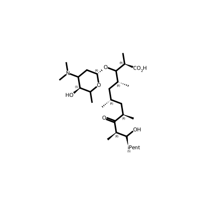 CCC[C@H](C)C(O)[C@@H](C)C(=O)[C@H](C)C[C@H](C)C[C@@H](C)C(O[C@H]1CC(N(C)C)[C@H](O)C(C)O1)[C@@H](C)C(=O)O